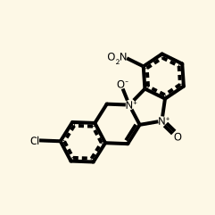 O=[N+]([O-])c1cccc2c1[N+]1([O-])Cc3cc(Cl)ccc3C=C1[N+]2=O